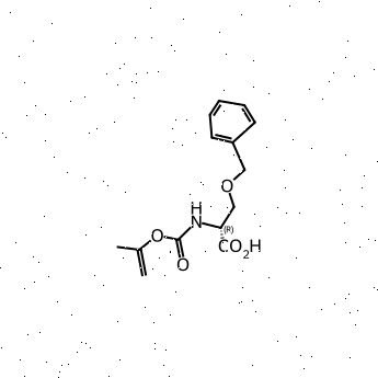 C=C(C)OC(=O)N[C@H](COCc1ccccc1)C(=O)O